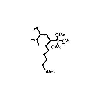 CCCCCCCCCCCCCCCC(CC(CCC)N(C)C)[Si](OC)(OC)OC.Cl